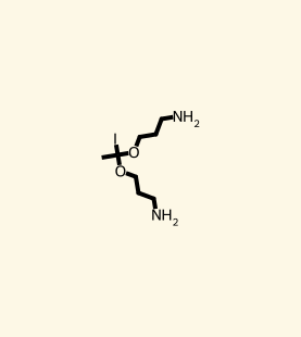 CC(I)(OCCCN)OCCCN